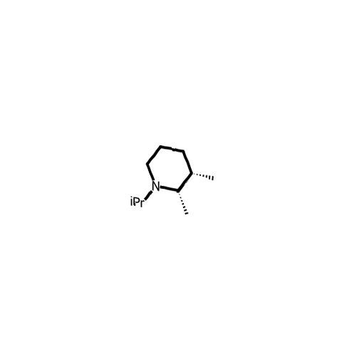 CC(C)N1CCC[C@H](C)[C@@H]1C